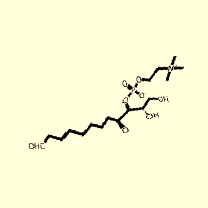 C[N+](C)(C)CCOP(=O)([O-])OC(C(=O)CCCCCCCC=O)[C@@H](O)CO